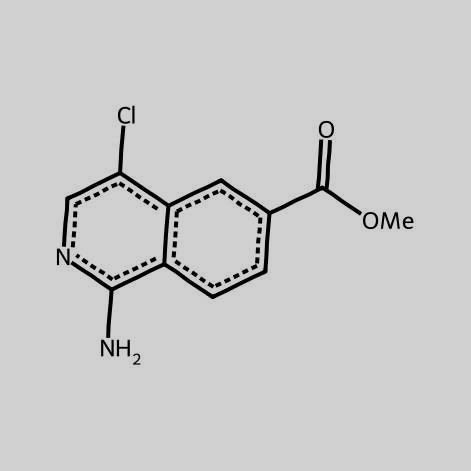 COC(=O)c1ccc2c(N)ncc(Cl)c2c1